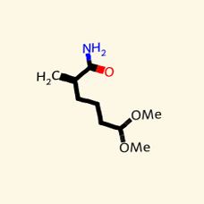 C=C(CCCC(OC)OC)C(N)=O